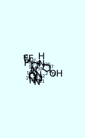 O[C@H]1CC[C@@H](N[C@@H]2C[C@H](C(F)(F)F)CN(c3ccnc4nccnc34)C2)CC1